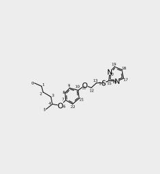 CCCCC(C)Oc1ccc(OCCSc2ncccn2)cc1